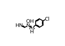 N=CN(O)[AsH]c1ccc(Cl)cc1